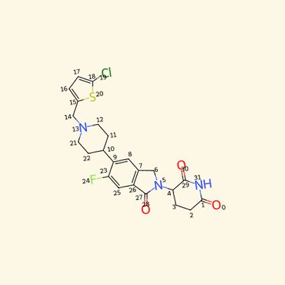 O=C1CCC(N2Cc3cc(C4CCN(Cc5ccc(Cl)s5)CC4)c(F)cc3C2=O)C(=O)N1